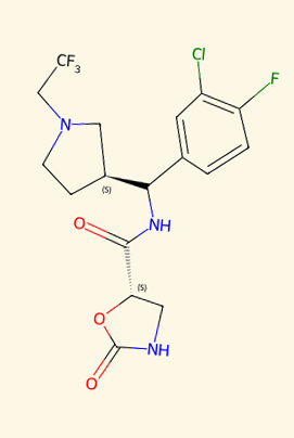 O=C1NC[C@@H](C(=O)NC(c2ccc(F)c(Cl)c2)[C@H]2CCN(CC(F)(F)F)C2)O1